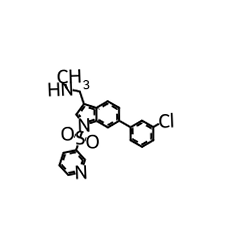 CNCc1cn(S(=O)(=O)c2cccnc2)c2cc(-c3cccc(Cl)c3)ccc12